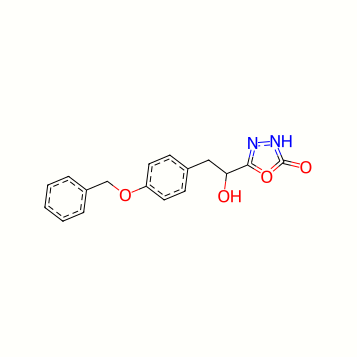 O=c1[nH]nc(C(O)Cc2ccc(OCc3ccccc3)cc2)o1